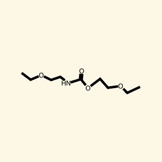 C[CH]OCCOC(=O)NCCOCC